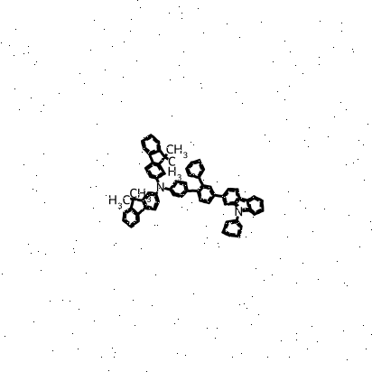 CC1(C)c2ccccc2-c2ccc(N(c3ccc(-c4ccc(-c5ccc6c7ccccc7n(-c7ccccc7)c6c5)cc4-c4ccccc4)cc3)c3ccc4c(c3)C(C)(C)c3ccccc3-4)cc21